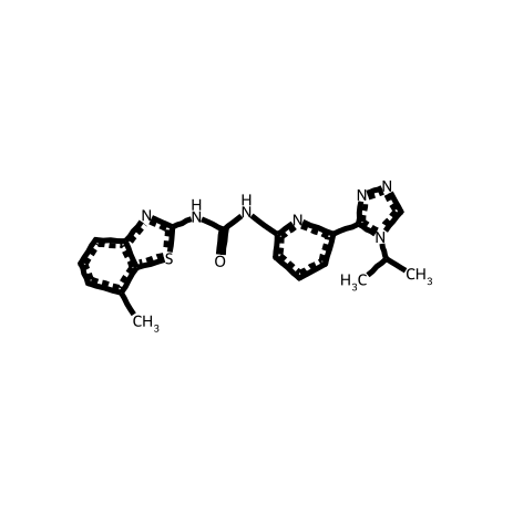 Cc1cccc2nc(NC(=O)Nc3cccc(-c4nncn4C(C)C)n3)sc12